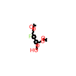 C=C(C)C(=O)OCCCc1ccc(-c2ccc(OCCO)c(CCOC(=O)C(=C)C)c2)cc1F